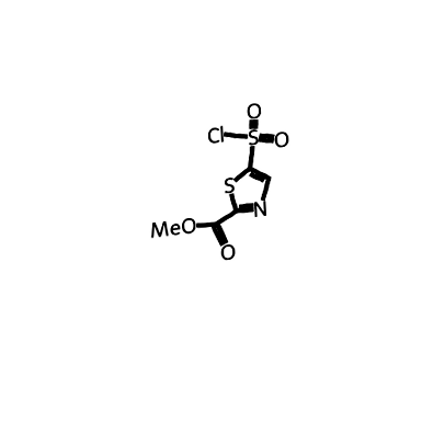 COC(=O)c1ncc(S(=O)(=O)Cl)s1